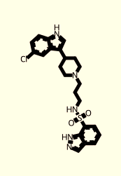 O=S(=O)(NCCCN1CCC(c2c[nH]c3ccc(Cl)cc23)CC1)c1cccc2cn[nH]c12